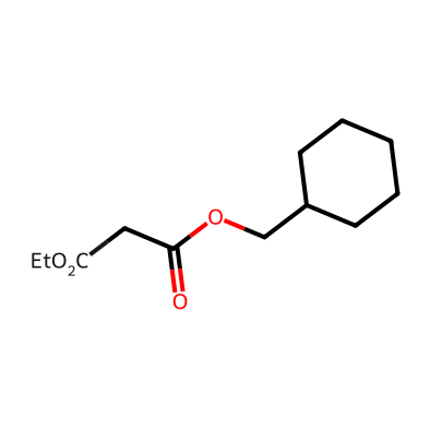 CCOC(=O)CC(=O)OCC1CCCCC1